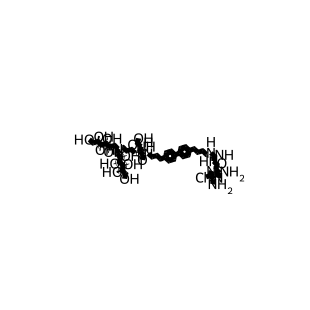 N=C(NCCCCc1ccc(-c2ccc(CCCNC(=O)[C@H](CCCCN(C[C@H](O)[C@@H](O)[C@H](O)[C@H](O)CO)C[C@H](O)[C@@H](O)[C@H](O)[C@H](O)CO)NC(=O)O)cc2)cc1)NC(=O)c1nc(Cl)c(N)nc1N